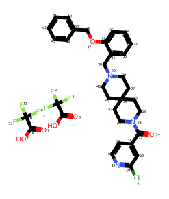 O=C(O)C(F)(F)F.O=C(O)C(F)(F)F.O=C(c1ccnc(Cl)c1)N1CCC2(CCN(Cc3ccccc3OCc3ccccc3)CC2)CC1